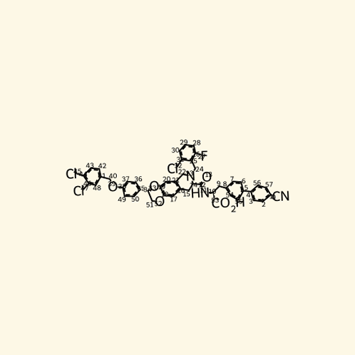 N#Cc1ccc(-c2ccc(C[C@H](NC(=O)C3Cc4cc5c(cc4CN3Cc3c(F)cccc3Cl)O[C@@H](c3ccc(OCc4ccc(Cl)c(Cl)c4)cc3)CO5)C(=O)O)cc2)cc1